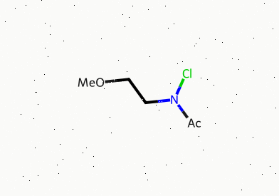 COCCN(Cl)C(C)=O